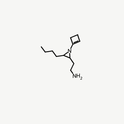 CCCCC1C(CCN)N1C1=CCC1